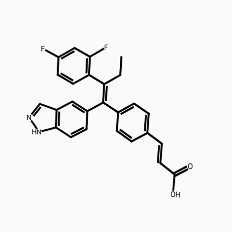 CCC(=C(c1ccc(C=CC(=O)O)cc1)c1ccc2[nH]ncc2c1)c1ccc(F)cc1F